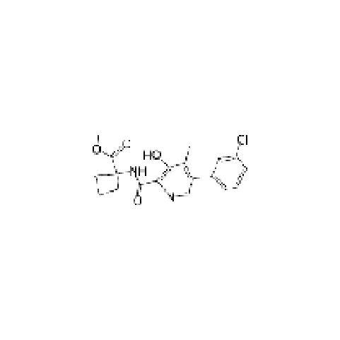 COC(=O)C1(NC(=O)c2ncc(-c3cccc(Cl)c3)c(C)c2O)CCC1